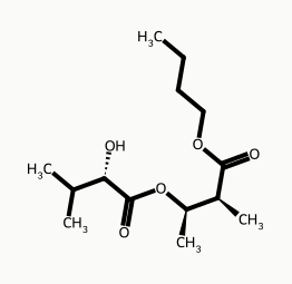 CCCCOC(=O)[C@@H](C)[C@@H](C)OC(=O)[C@@H](O)C(C)C